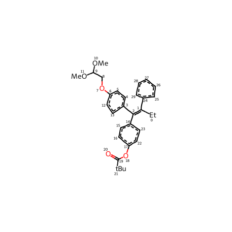 CC/C(=C(/c1ccc(OCC(OC)OC)cc1)c1ccc(OC(=O)C(C)(C)C)cc1)c1ccccc1